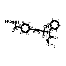 C=CC(=O)N(c1ccccc1)C(C)(C)C#Cc1ccc(C(=O)NO)cc1